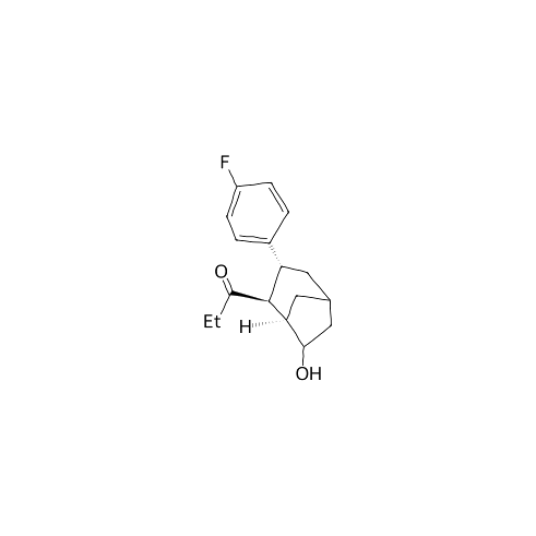 CCC(=O)[C@H]1[C@H](c2ccc(F)cc2)CC2CC(O)[C@@H]1C2